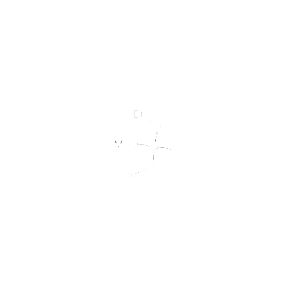 CCO[Si](C)(OC)OC(C)(C)C